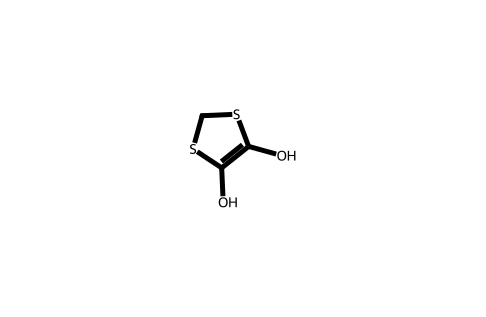 OC1=C(O)SCS1